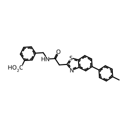 Cc1ccc(-c2ccc3sc(CC(=O)NCc4cccc(C(=O)O)c4)nc3c2)cc1